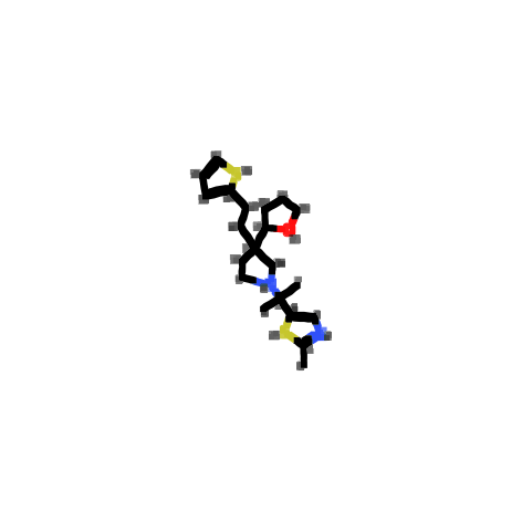 Cc1ncc(C(C)(C)N2CCC(CCc3cccs3)(C3CCCO3)C2)s1